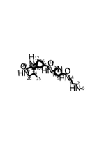 CNCCCNC(=O)c1ccc(NC(=O)c2ccc3[nH]c4c(c3c2)C(C)CNC4=O)cn1